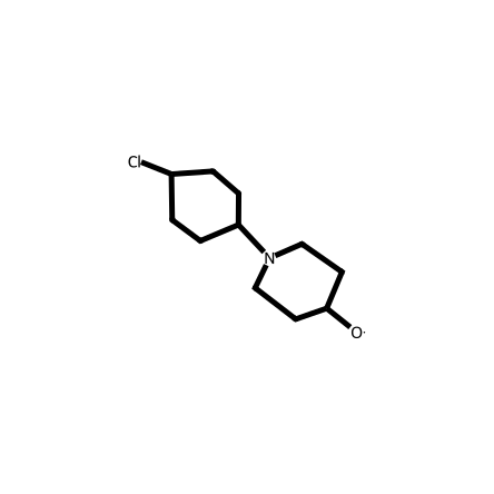 [O]C1CCN(C2CCC(Cl)CC2)CC1